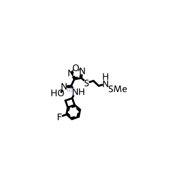 CSNCCSc1nonc1/C(=N/O)NC1Cc2c(F)cccc21